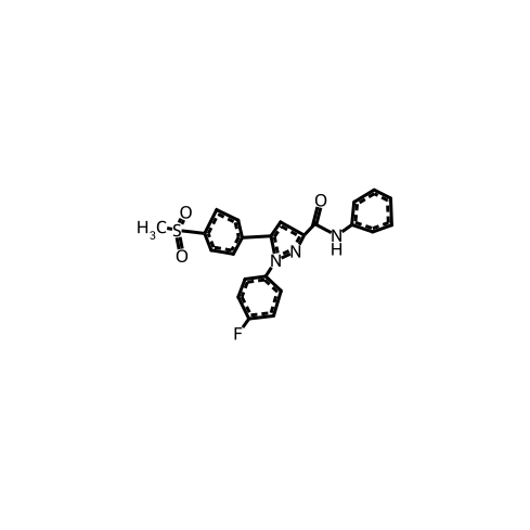 CS(=O)(=O)c1ccc(-c2cc(C(=O)Nc3ccccc3)nn2-c2ccc(F)cc2)cc1